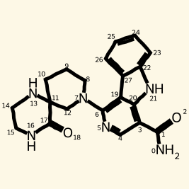 NC(=O)c1cnc(N2CCCC3(C2)NCCNC3=O)c2c1[nH]c1ccccc12